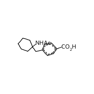 CC(=O)NC1(Cc2ccc(C(=O)O)cc2)CCCCC1